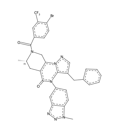 C[C@H]1Cc2c(n3ncc(Cc4ccccc4)c3n(-c3ccc4c(c3)nnn4C)c2=O)CN1C(=O)c1ccc(Br)c(C(F)(F)F)c1